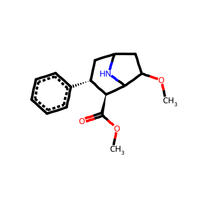 COC(=O)[C@@H]1C2NC(CC2OC)C[C@H]1c1ccccc1